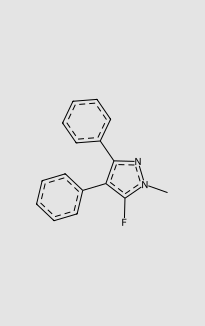 Cn1nc(-c2ccccc2)c(-c2ccccc2)c1F